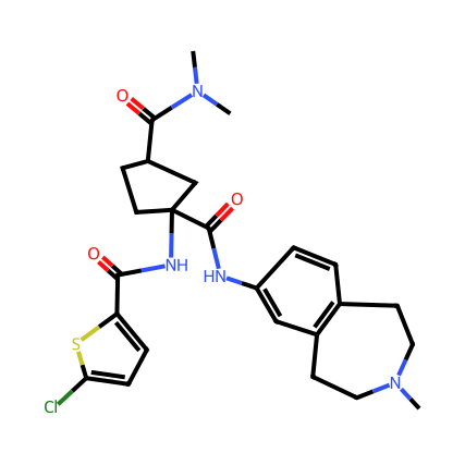 CN1CCc2ccc(NC(=O)C3(NC(=O)c4ccc(Cl)s4)CCC(C(=O)N(C)C)C3)cc2CC1